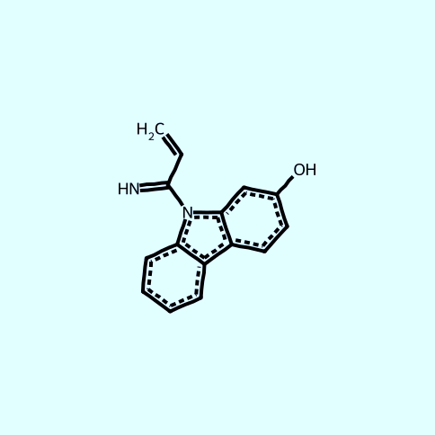 C=CC(=N)n1c2ccccc2c2ccc(O)cc21